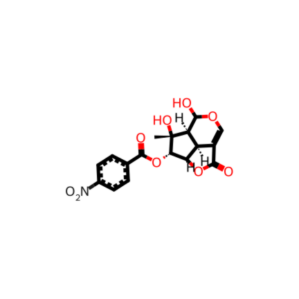 C[C@]1(O)[C@@H](OC(=O)c2ccc([N+](=O)[O-])cc2)[C@H]2OC(=O)C3=COC(O)[C@H]1[C@@H]32